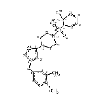 Cc1ccc(Cc2csc(N3CCN(S(=O)(=O)C4C=CC=CC4(C)Cl)CC3)n2)cc1C